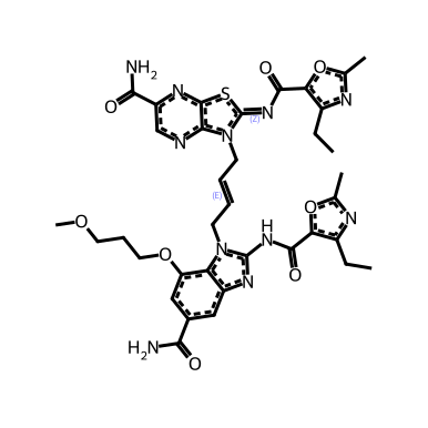 CCc1nc(C)oc1C(=O)/N=c1\sc2nc(C(N)=O)cnc2n1C/C=C/Cn1c(NC(=O)c2oc(C)nc2CC)nc2cc(C(N)=O)cc(OCCCOC)c21